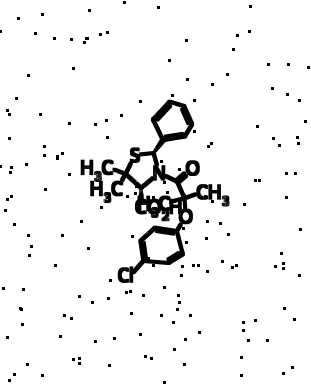 CC(C)(Oc1ccc(Cl)cc1)C(=O)N1[C@@H](C(=O)O)C(C)(C)S[C@H]1c1ccccc1